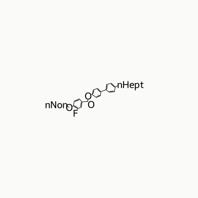 CCCCCCCCCOc1ccc(C(=O)Oc2ccc(-c3ccc(CCCCCCC)cc3)cc2)cc1F